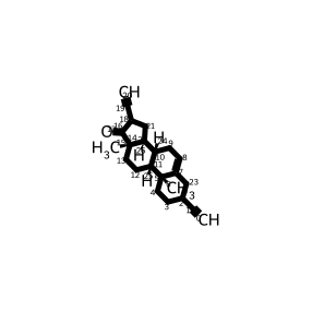 C#CC1CC[C@@]2(C)C(=CC[C@@H]3[C@H]2CC[C@]2(C)C(=O)C(C#C)C[C@@H]32)C1